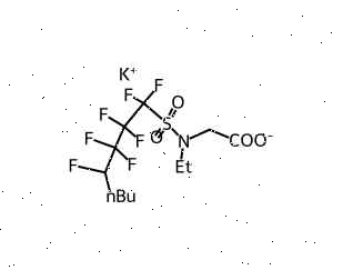 CCCCC(F)C(F)(F)C(F)(F)C(F)(F)S(=O)(=O)N(CC)CC(=O)[O-].[K+]